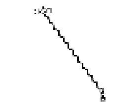 C[Si](Cl)(Cl)CCCCCCCCCCCCCCCCCCCCCCCN=C=O